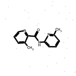 Cc1cccc(NC(=O)c2ncccc2C)n1